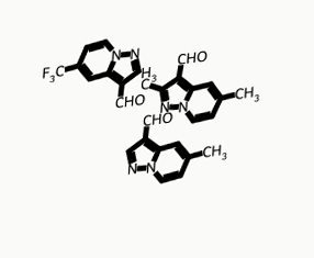 Cc1ccn2nc(C)c(C=O)c2c1.Cc1ccn2ncc(C=O)c2c1.O=Cc1cnn2ccc(C(F)(F)F)cc12